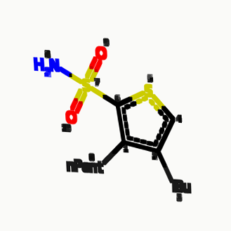 CCCCCc1c(C(C)CC)csc1S(N)(=O)=O